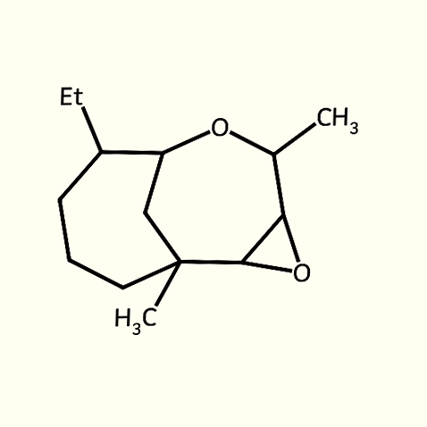 CCC1CCCC2(C)CC1OC(C)C1OC12